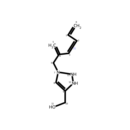 C=C/C=C\C(=C)CN1C=C(CO)NN1